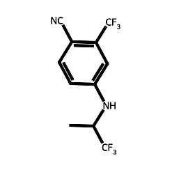 CC(Nc1ccc(C#N)c(C(F)(F)F)c1)C(F)(F)F